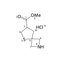 COC(=O)C1CSC2(CNC2)C1.Cl